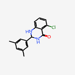 Cc1cc(C)cc(C2NC(=O)c3c(Cl)cccc3N2)c1